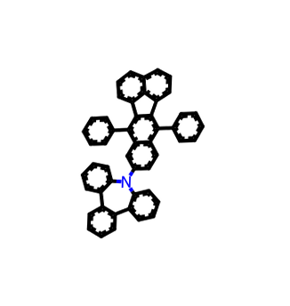 c1ccc(-c2c3c(c(-c4ccccc4)c4cc(N5c6ccccc6-c6ccccc6-c6ccccc65)ccc24)-c2cccc4cccc-3c24)cc1